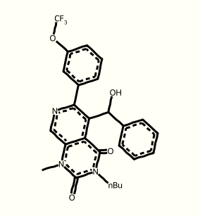 CCCCn1c(=O)c2c(C(O)c3ccccc3)c(-c3cccc(OC(F)(F)F)c3)ncc2n(C)c1=O